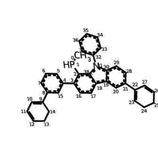 CPc1c(-c2cccc(C3=CC=CCC3)c2)ccc2c3cc(C4=CCCC=C4)ccc3n(-c3ccccc3)c12